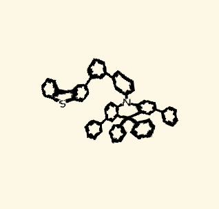 c1ccc(-c2ccc3c(c2)C(c2ccccc2)(c2ccccc2)c2cc(-c4ccccc4)ccc2N3c2cccc(-c3cccc(-c4ccc5sc6ccccc6c5c4)c3)c2)cc1